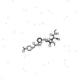 CCNC(=O)C(C#N)=c1sc(=CNc2cccc(NC(=O)CN3CCN(C(C)=O)CC3)n2)c(=O)n1CC